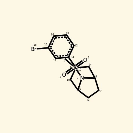 CS(=O)(=O)N1C2CCC1CN(c1cccc(Br)c1)C2